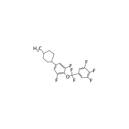 CC1CCC(c2cc(F)c(OC(F)(F)c3cc(F)c(F)c(F)c3)c(F)c2)CC1